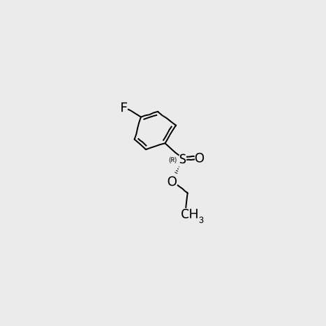 CCO[S@@](=O)c1ccc(F)cc1